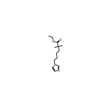 CCOC(=O)C(C)(C)CCCCn1ccnc1